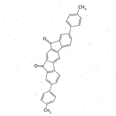 Cc1ccc(-c2ccc3c(c2)c(=O)c2cc4c(=O)c5cc(-c6ccc(C)cc6)ccc5c4cc23)cc1